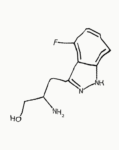 NC(CO)Cc1n[nH]c2cccc(F)c12